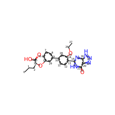 CCC[C@H](Oc1cccc(-c2ccc(-c3nc4[nH]nnc4c(=O)[nH]3)c(OCC)c2)c1)C(=O)O